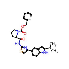 CC(C)c1cc2cc(-c3csc(NC(=O)C4CCCN4C(=O)OCc4ccccc4)n3)ccc2[nH]1